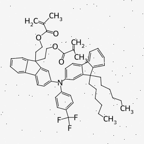 C=C(C)C(=O)OCCC1(CCOC(=O)C(=C)C)c2ccccc2-c2ccc(N(c3ccc(C(F)(F)F)cc3)c3ccc4c(c3)C(CCCCCC)(CCCCCC)c3ccccc3-4)cc21